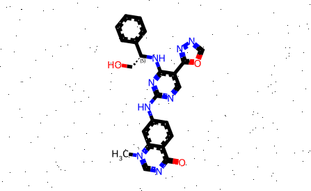 Cn1cnc(=O)c2ccc(Nc3ncc(-c4nnco4)c(N[C@H](CO)c4ccccc4)n3)cc21